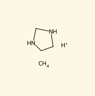 C.C1CNCN1.[H+]